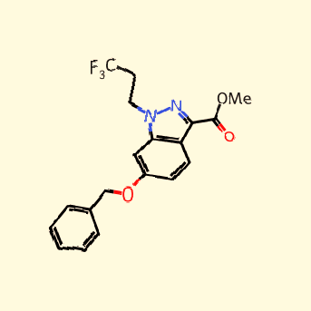 COC(=O)c1nn(CCC(F)(F)F)c2cc(OCc3ccccc3)ccc12